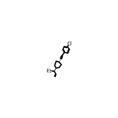 C=CC(CC)[C@H]1CC[C@H](C#Cc2ccc(Cl)cc2)CC1